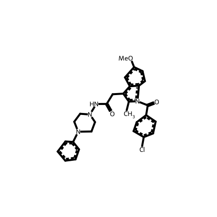 COc1ccc2c(c1)c(CC(=O)NN1CCN(c3ccccc3)CC1)c(C)n2C(=O)c1ccc(Cl)cc1